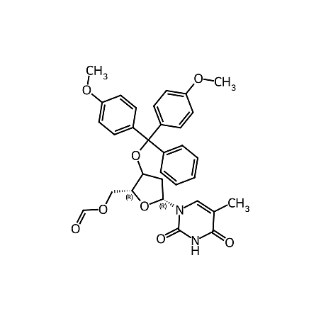 COc1ccc(C(OC2C[C@H](n3cc(C)c(=O)[nH]c3=O)O[C@@H]2COC=O)(c2ccccc2)c2ccc(OC)cc2)cc1